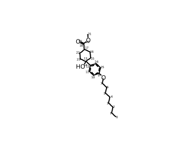 CCCCCCCCOc1ccc(C2(O)CCC(C(=O)OC)CC2)cc1